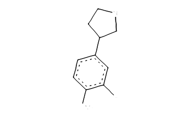 COc1ccc(C2CCNC2)cc1F